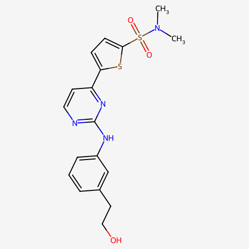 CN(C)S(=O)(=O)c1ccc(-c2ccnc(Nc3cccc(CCO)c3)n2)s1